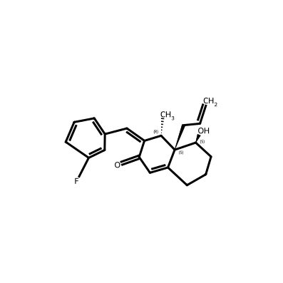 C=CC[C@@]12C(=CC(=O)C(=Cc3cccc(F)c3)[C@@H]1C)CCC[C@@H]2O